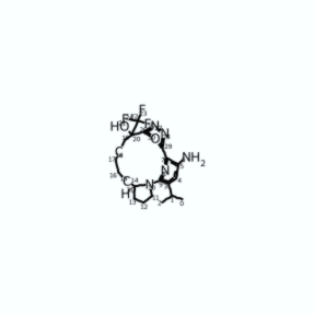 CC(C)c1cc(N)c2nc1N1CCC[C@H]1CCCCCC(O)(C(F)(F)F)c1nnc-2o1